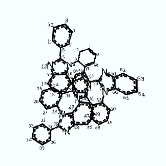 C1=CCC(n2c(-c3ccccc3)nc3ccccc32)C(c2nc(-c3ccccc3-n3c(-c4ccccc4)nc4ccccc43)nc(-c3ccccc3-n3c(-c4ccccc4)nc4ccccc43)n2)=C1